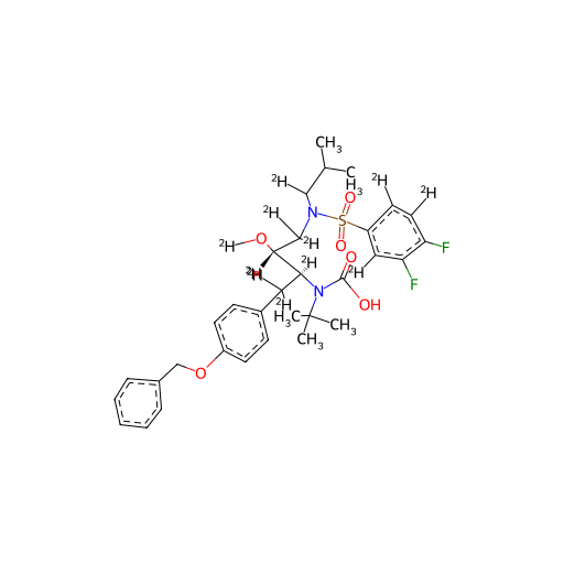 [2H]O[C@]([2H])(C([2H])([2H])N(C([2H])C(C)C)S(=O)(=O)c1c([2H])c([2H])c(F)c(F)c1[2H])[C@@]([2H])(N(C(=O)O)C(C)(C)C)C([2H])([2H])c1ccc(OCc2ccccc2)cc1